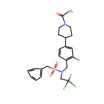 CC(=O)N1CCC(c2ccc(CN(CC(F)(F)F)S(=O)(=O)Cc3ccccc3)c(F)c2)CC1